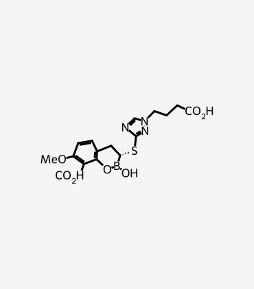 COc1ccc2c(c1C(=O)O)OB(O)[C@@H](Sc1ncn(CCCC(=O)O)n1)C2